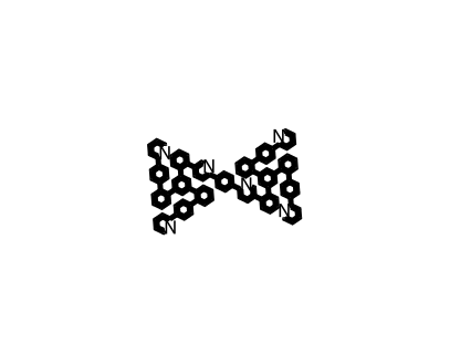 c1ccc(-c2ccc(-c3ccccc3-c3cc(-c4ccccc4-c4ccc(-c5ccccn5)cc4)cc(-c4ccccc4-c4ccc(-c5ccc(-c6ccc(-c7ccccc7-c7cc(-c8ccccc8-c8ccc(-c9ccccn9)cc8)cc(-c8ccccc8-c8ccc(-c9ccccn9)cc8)c7)cn6)cc5)nc4)c3)cc2)nc1